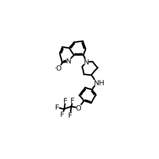 [O]c1ccc2cccc(N3CCC(Nc4ccc(OC(F)(F)C(F)(F)F)cc4)CC3)c2n1